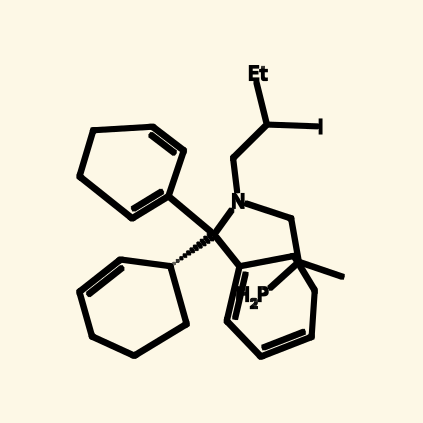 CCC(I)CN(CC(C)P)C(C1=CCCC=C1)(C1=CC=CCC1)[C@H]1C=CCCC1